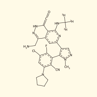 [2H]C([2H])([2H])Nc1nc(-c2cnn(C)c2-c2c(F)c(Cl)cc(N3CCCC3)c2C#N)cc2c1C(=C=O)NN=C2CN